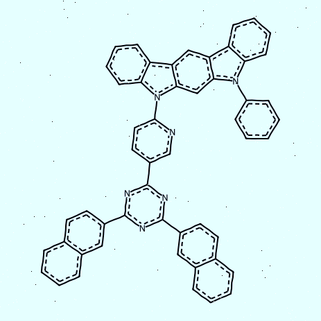 c1ccc(-n2c3ccccc3c3cc4c5ccccc5n(-c5ccc(-c6nc(-c7ccc8ccccc8c7)nc(-c7ccc8ccccc8c7)n6)cn5)c4cc32)cc1